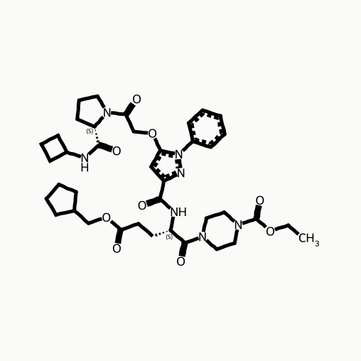 CCOC(=O)N1CCN(C(=O)[C@H](CCC(=O)OCC2CCCC2)NC(=O)c2cc(OCC(=O)N3CCC[C@H]3C(=O)NC3CCC3)n(-c3ccccc3)n2)CC1